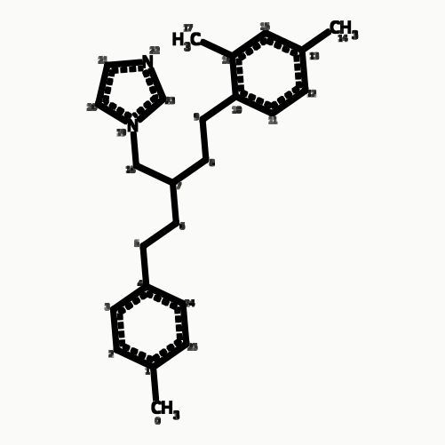 Cc1ccc(CCC(CCc2ccc(C)cc2C)Cn2ccnc2)cc1